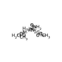 C=C(C)OC(=O)NCCCC[C@H](NCCCC(=O)OCC)C(N)=O